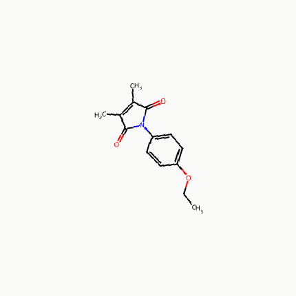 CCOc1ccc(N2C(=O)C(C)=C(C)C2=O)cc1